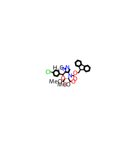 COC(=O)C[C@@H](C(=O)OC)N(C(=O)OCC1c2ccccc2-c2ccccc21)c1cnn(C)c1C(=O)c1ccc(Cl)cc1